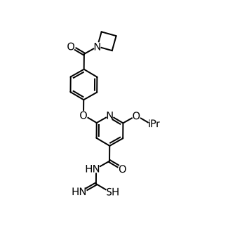 CC(C)Oc1cc(C(=O)NC(=N)S)cc(Oc2ccc(C(=O)N3CCC3)cc2)n1